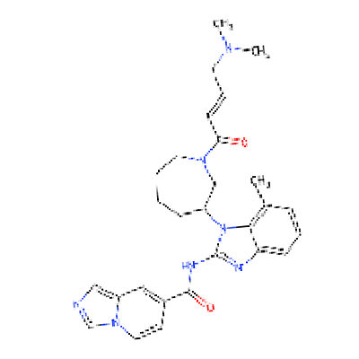 Cc1cccc2nc(NC(=O)c3ccn4cncc4c3)n(C3CCCCN(C(=O)C=CCN(C)C)C3)c12